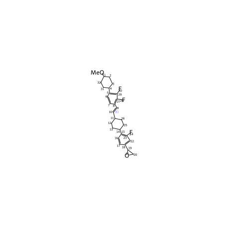 COC1CCC(c2ccc(/C=C/C3CCC(c4ccc(C5CO5)cc4F)CC3)c(F)c2F)CC1